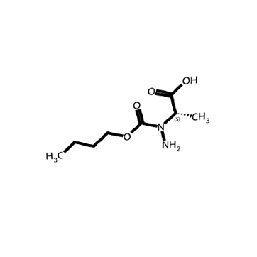 CCCCOC(=O)N(N)[C@@H](C)C(=O)O